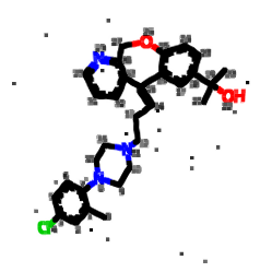 Cc1cc(Cl)ccc1N1CCN(CC/C=C2/c3cc(C(C)(C)O)ccc3OCc3ncccc32)CC1